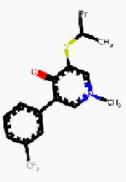 CC(C)C(C)Sc1cn(C)cc(-c2cccc(C(F)(F)F)c2)c1=O